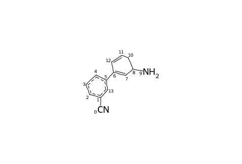 N#Cc1cccc(C2=CC(N)CC=C2)c1